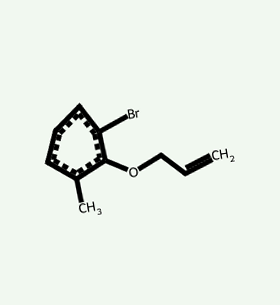 C=CCOc1c(C)cccc1Br